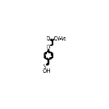 COC(=O)COc1ccc(C=NO)cc1